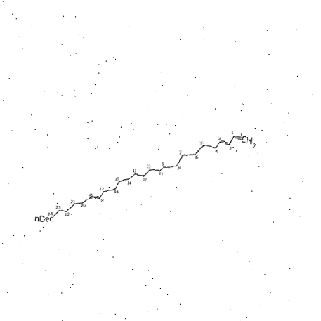 C=CC=CCCCCCCCCCCCCCCC=CCCCCCCCCCCCCCC